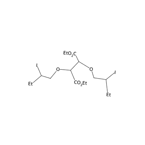 CCOC(=O)C(OCC(I)CC)C(OCC(I)CC)C(=O)OCC